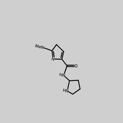 CNC1=NC(C(=O)NC2CCCN2)=CC1